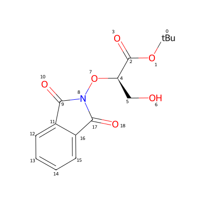 CC(C)(C)OC(=O)[C@@H](CO)ON1C(=O)c2ccccc2C1=O